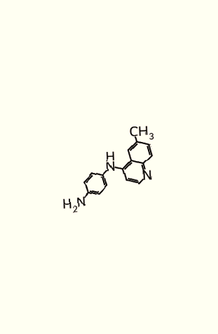 Cc1ccc2nccc(Nc3ccc(N)cc3)c2c1